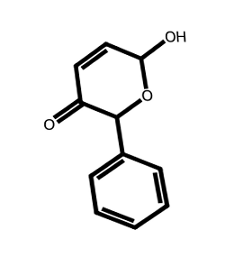 O=C1C=CC(O)OC1c1ccccc1